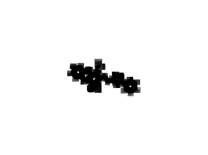 Cc1c(SCc2noc(-c3ccccc3)n2)[nH]c(=O)n(Cc2ccccc2)c1=O